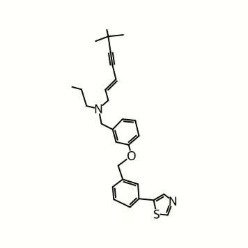 CCCN(CC=CC#CC(C)(C)C)Cc1cccc(OCc2cccc(-c3cncs3)c2)c1